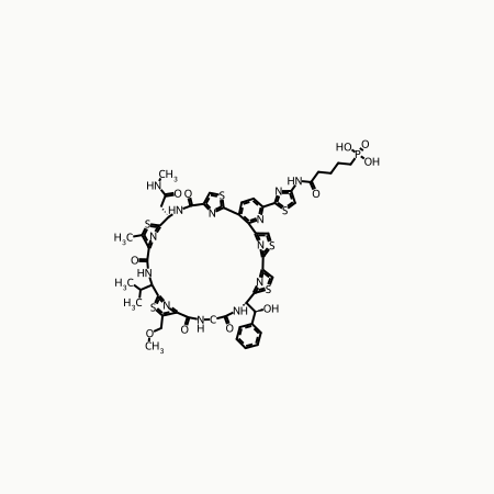 CNC(=O)C[C@@H]1NC(=O)c2csc(n2)-c2ccc(-c3nc(NC(=O)CCCCP(=O)(O)O)cs3)nc2-c2csc(n2)-c2csc(n2)[C@H]([C@@H](O)c2ccccc2)NC(=O)CNC(=O)c2nc(sc2COC)C(C(C)C)NC(=O)c2nc1sc2C